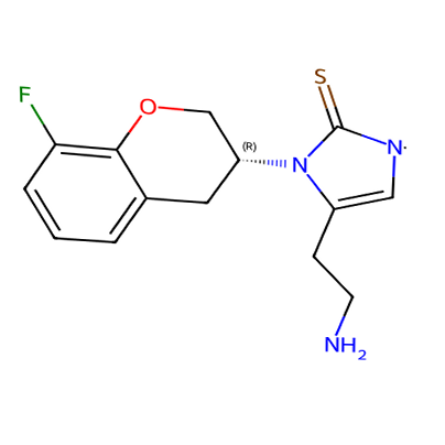 NCCC1=C[N]C(=S)N1[C@H]1COc2c(F)cccc2C1